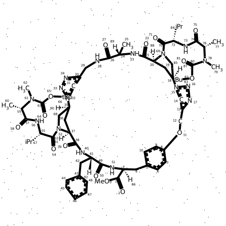 COC(=O)[C@@H]1Cc2ccc(cc2)OCc2cn(nn2)[C@H]2C[C@@H](C(=O)N[C@@H](C)C(=O)NCc3cn(nn3)[C@H]3C[C@@H](C(=O)N[C@@H](Cc4ccccc4)C(=O)N1)N(C(=O)[C@@H](NC(=O)[C@H](C)N(C)C(=O)OC(C)(C)C)C(C)C)C3)N(C(=O)[C@@H](NC(=O)[C@H](C)N(C)C(=O)OC(C)(C)C)C(C)C)C2